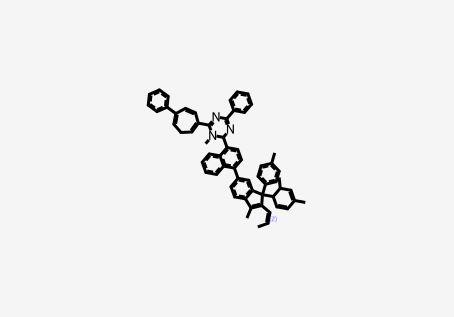 C/C=C\C1=C(C)c2ccc(-c3ccc(C4N=C(c5ccccc5)N=C(C5=CCC=C(c6ccccc6)C=C5)N4C)c4ccccc34)cc2C1(c1ccc(C)cc1)C1C=CC(C)=CC1C